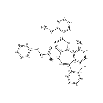 COc1ccccc1C(=O)CN1C(=O)C(NC(=O)OCc2ccccc2)N=C(c2ccccc2F)c2cccc(C)c21